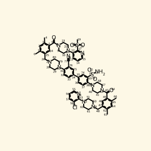 Cc1cc(C)c(C(=O)N2CCN(c3cccnc3S(C)(=O)=O)CC2)cc1CN1CCN(c2ccc(-c3ccc(N4CCN(C(=O)c5cc(CN6CCN(c7ncccc7Cl)CC6)c(C)cc5C)CC4)c(S(N)(=O)=O)c3)cc2C#N)CC1